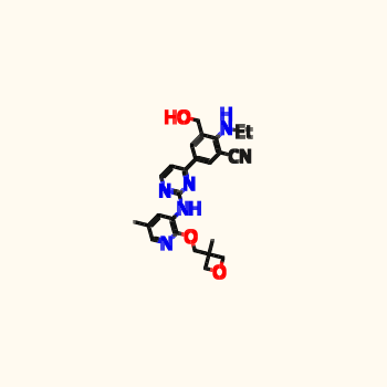 CCNc1c(C#N)cc(-c2ccnc(Nc3cc(C)cnc3OCC3(C)COC3)n2)cc1CO